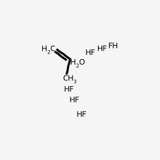 C=CC.F.F.F.F.F.F.O